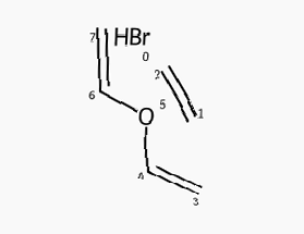 Br.C=C.C=COC=C